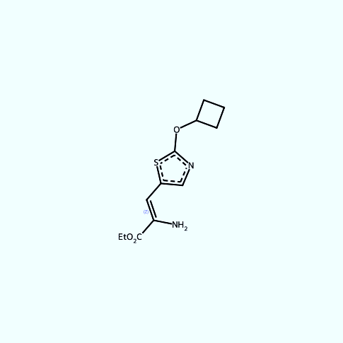 CCOC(=O)/C(N)=C/c1cnc(OC2CCC2)s1